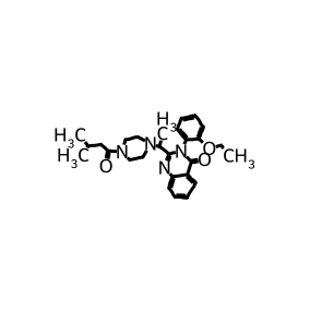 CCOc1ccccc1-n1c(C(C)N2CCN(C(=O)CC(C)C)CC2)nc2ccccc2c1=O